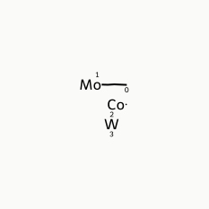 [CH3][Mo].[Co].[W]